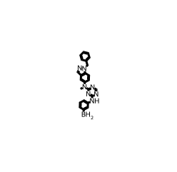 Bc1cccc(Nc2ncnc(N(C)c3ccc4c(cnn4Cc4ccccc4)c3)n2)c1